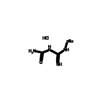 CCCCNC(=N)NC(N)=O.Cl